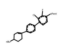 CCCCCc1ccc(-c2ccc(C3=CCC(CCCC)CC3)cc2)c(Cl)c1F